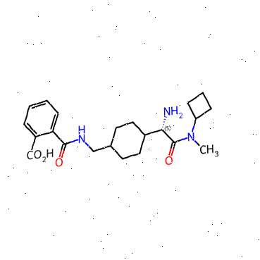 CN(C(=O)[C@@H](N)C1CCC(CNC(=O)c2ccccc2C(=O)O)CC1)C1CCC1